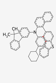 CC1(C)c2ccccc2-c2cc(N(c3cccc(C4CCCCC4)c3)c3ccc4ccccc4c3-c3ccc4sc5ccccc5c4c3)ccc21